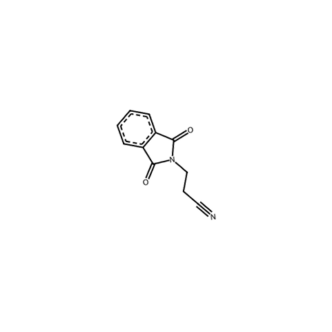 N#CCCN1C(=O)c2ccccc2C1=O